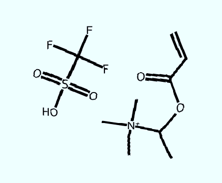 C=CC(=O)OC(C)[N+](C)(C)C.O=S(=O)(O)C(F)(F)F